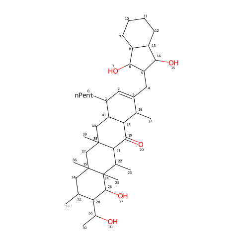 CCCCCC1C=C(CC2C(O)C3CCCCC3C2O)C(C)C2C(=O)C3C(C)C4(C)C(O)C(C(C)O)C(C)CC4(C)CC3(C)CC12